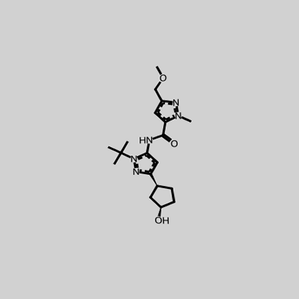 COCc1cc(C(=O)Nc2cc([C@H]3CC[C@@H](O)C3)nn2C(C)(C)C)n(C)n1